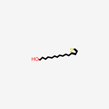 OCCCCCCCCCCCc1cccs1